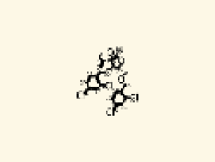 C=C(C)[C@]12O[C@H]1O[C@H](COCc1ccc(Cl)cc1Cl)[C@H]2OCc1ccc(Cl)cc1Cl